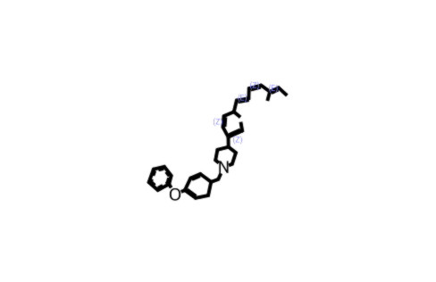 C/C=C(\C=C/C(C)/C=C/C=C\C(C)=C\C)C1CCN(CC2C=CC(Oc3ccccc3)=CC2)CC1